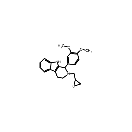 COc1ccc(C2c3[nH]c4ccccc4c3CCN2CC2CO2)cc1OC